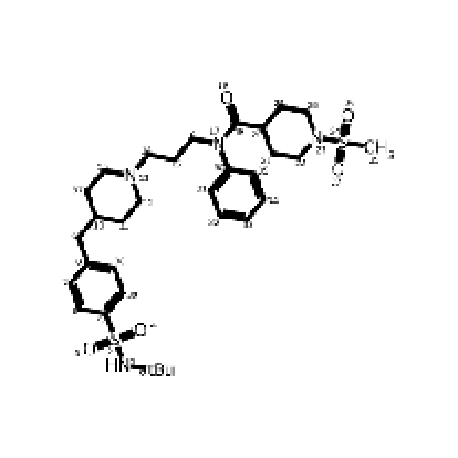 CC(C)(C)NS(=O)(=O)c1ccc(CC2CCN(CCCN(C(=O)C3CCN(S(C)(=O)=O)CC3)c3ccccc3)CC2)cc1